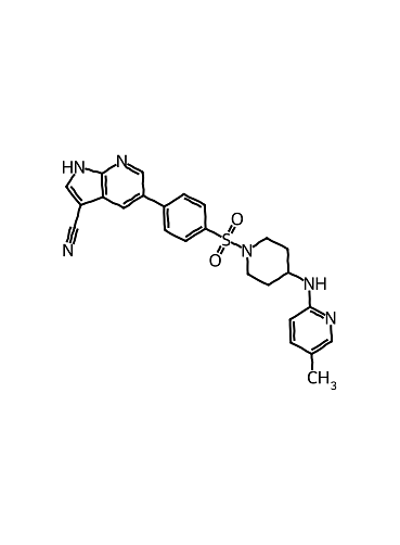 Cc1ccc(NC2CCN(S(=O)(=O)c3ccc(-c4cnc5[nH]cc(C#N)c5c4)cc3)CC2)nc1